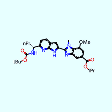 CCC[C@@H](NC(=O)OC(C)(C)C)c1ccc2cc(-c3nc4cc(C(=O)OC(C)C)cc(OC)c4n3C)[nH]c2n1